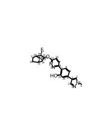 Cn1cc(-c2ccc(-c3ccc(O[C@H]4CC5CCC(N5)[C@H]4F)nn3)c(O)c2)cn1